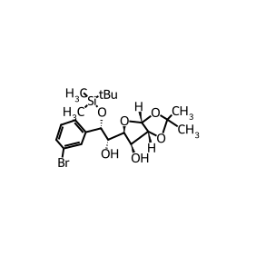 CC1(C)O[C@H]2O[C@H]([C@H](O)[C@@H](O[Si](C)(C)C(C)(C)C)c3cccc(Br)c3)[C@H](O)[C@H]2O1